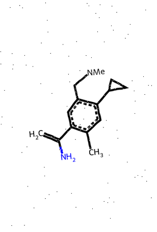 C=C(N)c1cc(CNC)c(C2CC2)cc1C